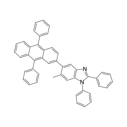 Cc1cc2c(cc1-c1ccc3c(-c4ccccc4)c4ccccc4c(-c4ccccc4)c3c1)nc(-c1ccccc1)n2-c1ccccc1